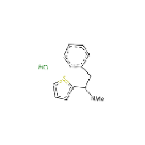 CNC(Cc1ccccc1)c1cccs1.Cl